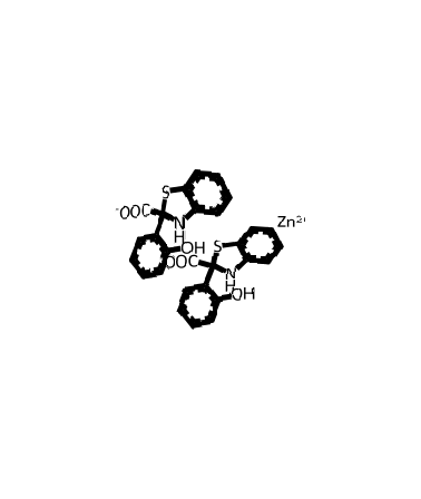 O=C([O-])C1(c2ccccc2O)Nc2ccccc2S1.O=C([O-])C1(c2ccccc2O)Nc2ccccc2S1.[Zn+2]